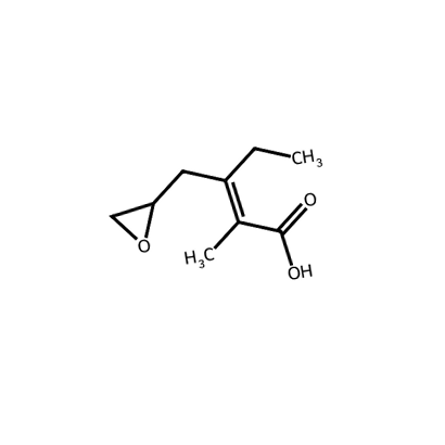 CCC(CC1CO1)=C(C)C(=O)O